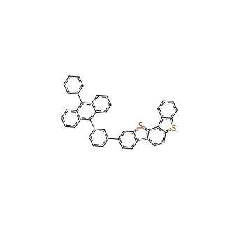 c1ccc(-c2c3ccccc3c(-c3cccc(-c4ccc5c(c4)sc4c5ccc5sc6ccccc6c54)c3)c3ccccc23)cc1